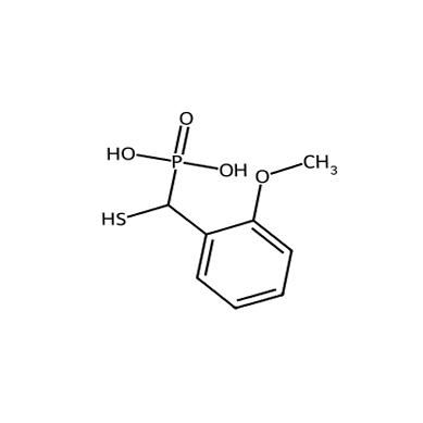 COc1ccccc1C(S)P(=O)(O)O